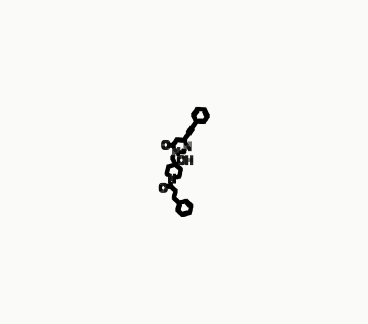 O=C(CCc1ccccc1)N1CCC(O)(Cn2cnc(C#Cc3ccccc3)cc2=O)CC1